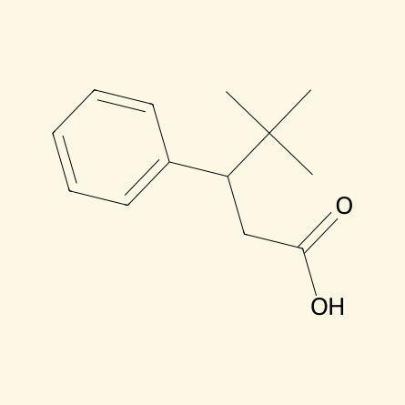 CC(C)(C)C(CC(=O)O)c1ccccc1